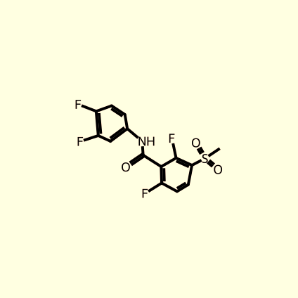 CS(=O)(=O)c1ccc(F)c(C(=O)Nc2ccc(F)c(F)c2)c1F